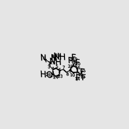 N#CC(Cc1cc(/C=C/c2cc(C(F)(F)F)cc(C(F)(F)F)c2)ccc1O)NN=N